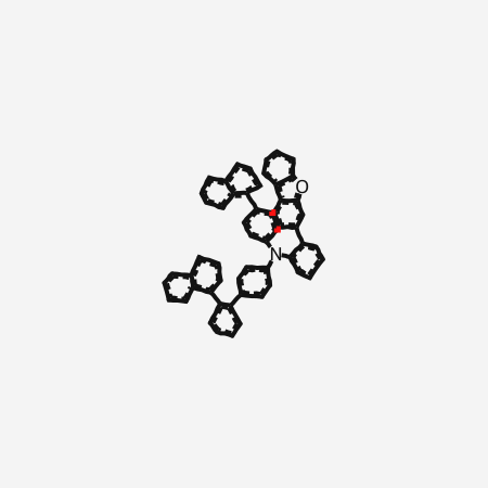 c1ccc(-c2cccc3ccccc23)c(-c2ccc(N(c3ccc(-c4cccc5ccccc45)cc3)c3ccccc3-c3ccc4c(c3)oc3ccccc34)cc2)c1